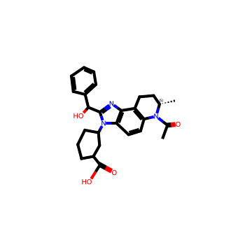 CC(=O)N1c2ccc3c(nc(C(O)c4ccccc4)n3C3CCCC(C(=O)O)C3)c2CC[C@@H]1C